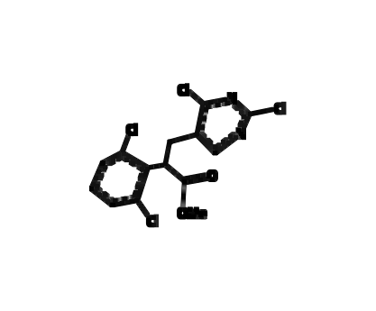 COC(=O)C(Cc1cnc(Cl)nc1Cl)c1c(Cl)cccc1Cl